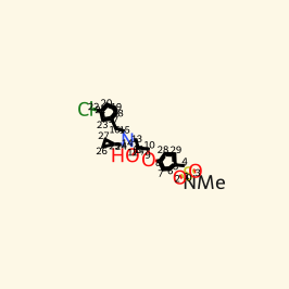 CNS(=O)(=O)Cc1ccc(OC[C@@H](O)CN(CCc2cccc(Cl)c2)CC2CC2)cc1